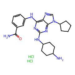 Cl.Cl.NC(=O)c1cccc(Nc2nc(NC3CCC(N)CC3)nc3c2ncn3C2CCCC2)c1